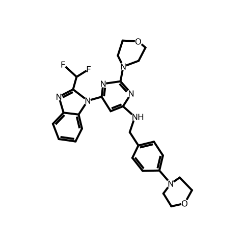 FC(F)c1nc2ccccc2n1-c1cc(NCc2ccc(N3CCOCC3)cc2)nc(N2CCOCC2)n1